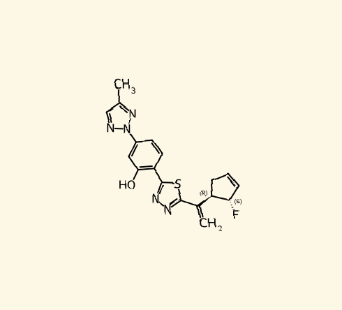 C=C(c1nnc(-c2ccc(-n3ncc(C)n3)cc2O)s1)[C@H]1CC=C[C@@H]1F